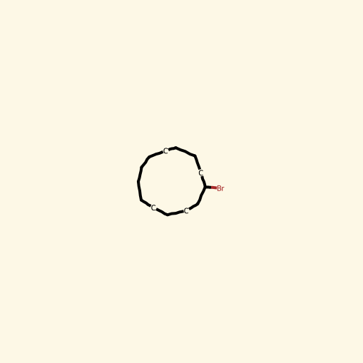 BrC1CCCCCCCCCCCC1